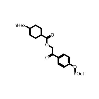 CCCCCCCCOc1ccc(C(=O)COC(=O)C2CCC(CCCCCC)CC2)cc1